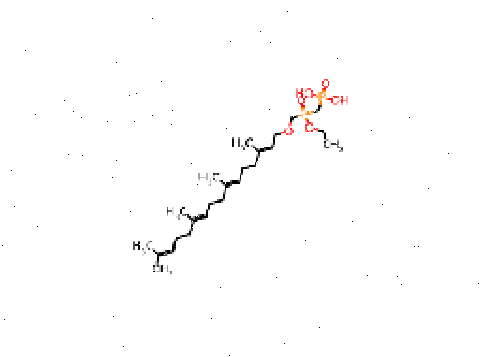 CCOP(=O)(COC/C=C(\C)CC/C=C(\C)CC/C=C(\C)CCC=C(C)C)CP(=O)(O)O